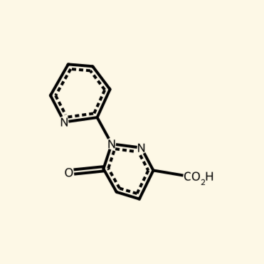 O=C(O)c1ccc(=O)n(-c2ccccn2)n1